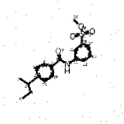 CCC(C)c1ccc(C(=O)Nc2cccc(S(=O)(=O)OC)c2)cc1